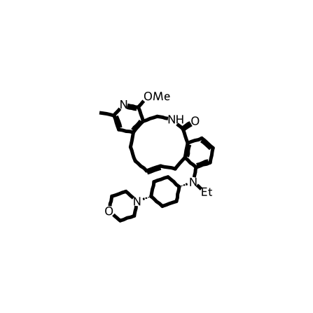 CCN(c1cccc2c1C/C=C/CCc1cc(C)nc(OC)c1CNC2=O)[C@H]1CC[C@@H](N2CCOCC2)CC1